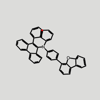 c1ccc(-c2c(N(c3ccccc3)c3ccc(-c4cccc5c4oc4ccccc45)cc3)c3ccccc3c3ccccc23)cc1